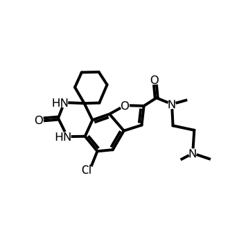 CN(C)CCN(C)C(=O)c1cc2cc(Cl)c3c(c2o1)C1(CCCCC1)NC(=O)N3